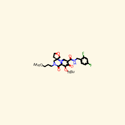 CCCCOc1c2n(cc(C(=O)NCc3ccc(F)cc3F)c1=O)C1(CCOC1)CN(CCCOC)C2=O